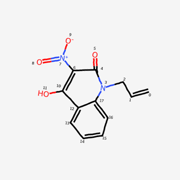 C=CCn1c(=O)c([N+](=O)[O-])c(O)c2ccccc21